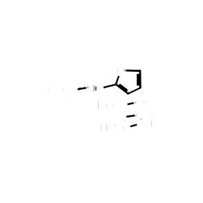 CC(=O)O.CC(=O)O.CC(=O)O.CC(=O)O.O=Cc1ccco1